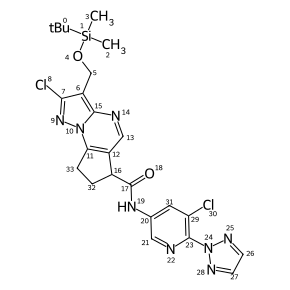 CC(C)(C)[Si](C)(C)OCc1c(Cl)nn2c3c(cnc12)C(C(=O)Nc1cnc(-n2nccn2)c(Cl)c1)CC3